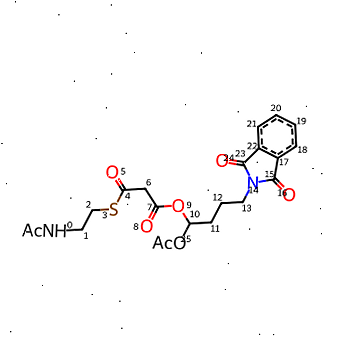 CC(=O)NCCSC(=O)CC(=O)OC(CCCN1C(=O)c2ccccc2C1=O)OC(C)=O